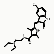 CCN(CC)CCNC(=O)c1c(C)[nH]c(C=C2C(=O)Nc3ccc(Cl)cc32)c1C